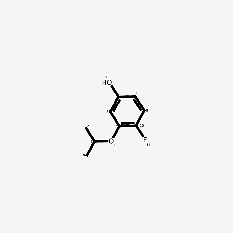 CC(C)Oc1cc(O)ccc1F